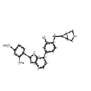 COc1cc(C(=O)O)ccc1-c1cc2nccc(-c3ccc(NC4C5COCC54)c(C#N)c3)c2o1